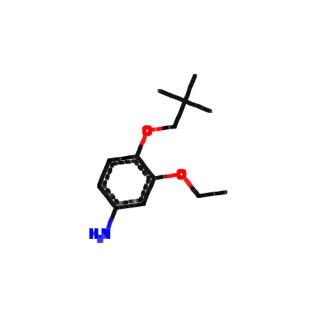 CCOc1cc(N)ccc1OCC(C)(C)C